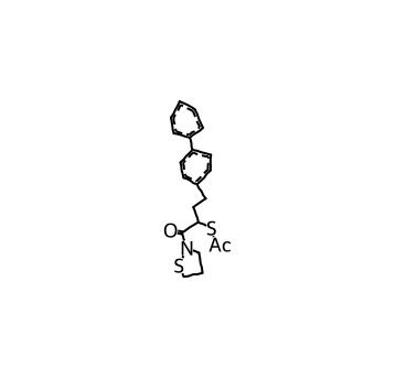 CC(=O)SC(CCc1ccc(-c2ccccc2)cc1)C(=O)N1CCCS1